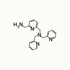 NCc1cccc(CN(Cc2ccccn2)Cc2ccccn2)n1